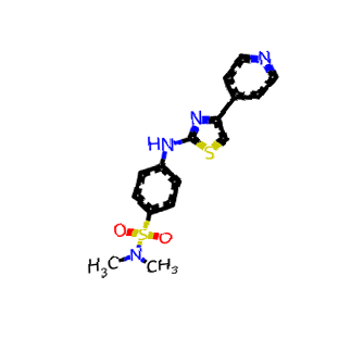 CN(C)S(=O)(=O)c1ccc(Nc2nc(-c3ccncc3)cs2)cc1